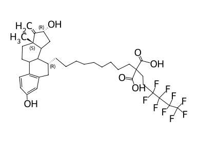 C=C1[C@H](O)CC2C3C(CC[C@]12C)c1ccc(O)cc1C[C@H]3CCCCCCCCCC(CCC(F)(F)C(F)(F)C(F)(F)C(F)(F)F)(C(=O)O)C(=O)O